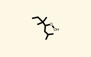 CCC(C)(C)[C](CC(C)C)OO